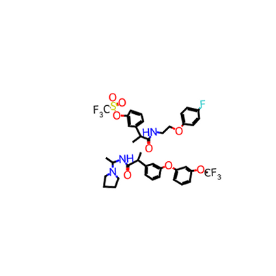 CC(C(=O)NC(C)N1CCCC1)c1cccc(Oc2cccc(OC(F)(F)F)c2)c1.CC(C(=O)NCCOc1ccc(F)cc1)c1cccc(OS(=O)(=O)C(F)(F)F)c1